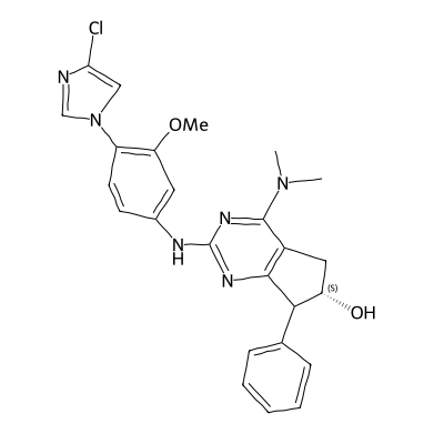 COc1cc(Nc2nc3c(c(N(C)C)n2)C[C@H](O)C3c2ccccc2)ccc1-n1cnc(Cl)c1